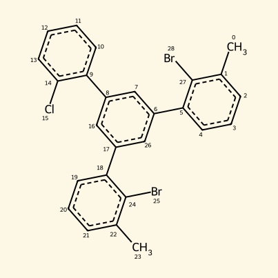 Cc1cccc(-c2cc(-c3ccccc3Cl)cc(-c3cccc(C)c3Br)c2)c1Br